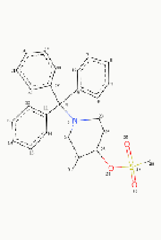 CC1CN(C(c2ccccc2)(c2ccccc2)c2ccccc2)CCC1OS(C)(=O)=O